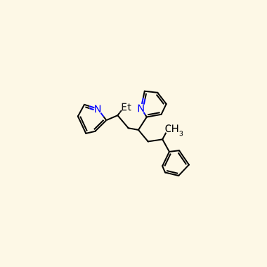 CCC(CC(CC(C)c1ccccc1)c1ccccn1)c1ccccn1